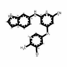 Cc1ncc(Oc2cc(C#N)nc(Nc3ccc4cc[nH]c4c3)c2)cc1Cl